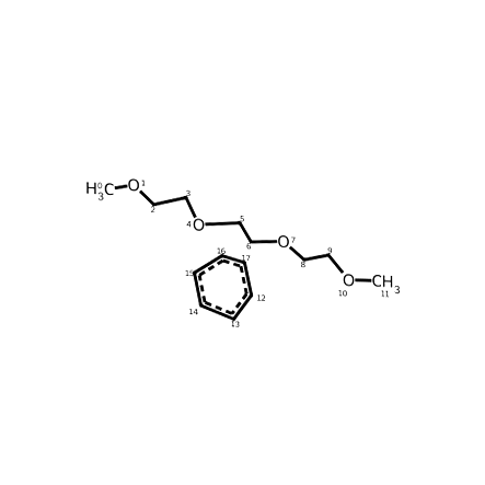 COCCOCCOCCOC.c1ccccc1